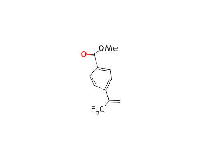 C=C(c1ccc(C(=O)OC)cc1)C(F)(F)F